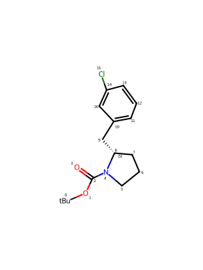 CC(C)(C)OC(=O)N1CCC[C@H]1Cc1cccc(Cl)c1